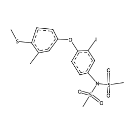 CSc1ccc(Oc2ccc(N(S(C)(=O)=O)S(C)(=O)=O)cc2I)cc1C